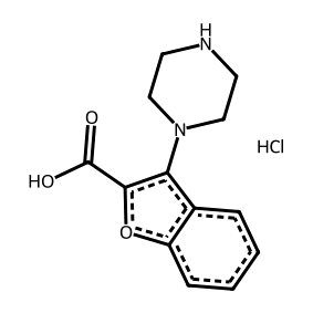 Cl.O=C(O)c1oc2ccccc2c1N1CCNCC1